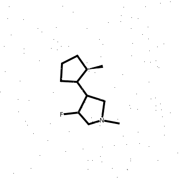 C[C@@H]1CCCC1C1CN(C)CC1F